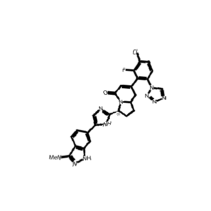 CNc1n[nH]c2cc(-c3cnc([C@@H]4CCC5CC(c6c(-n7cnnn7)ccc(Cl)c6F)=CC(=O)N54)[nH]3)ccc12